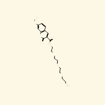 CCCOCCOCCOCCNC(=O)c1cc2ccc(OC)cc2oc1=O